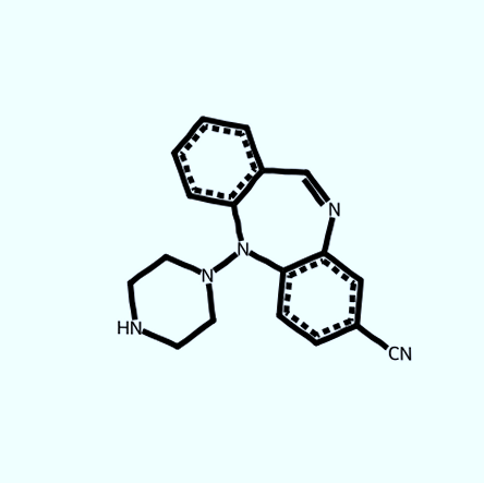 N#Cc1ccc2c(c1)N=Cc1ccccc1N2N1CCNCC1